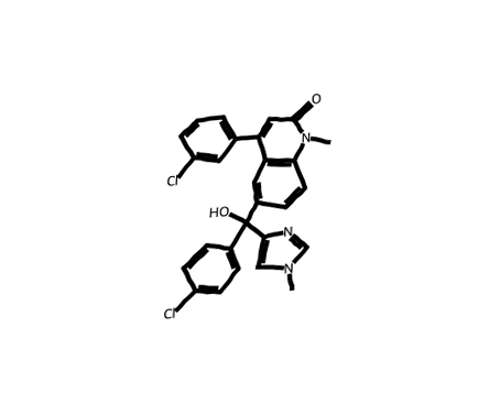 Cn1cnc(C(O)(c2ccc(Cl)cc2)c2ccc3c(c2)c(-c2cccc(Cl)c2)cc(=O)n3C)c1